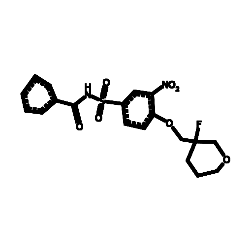 O=C(NS(=O)(=O)c1ccc(OCC2(F)CCCOC2)c([N+](=O)[O-])c1)c1ccccc1